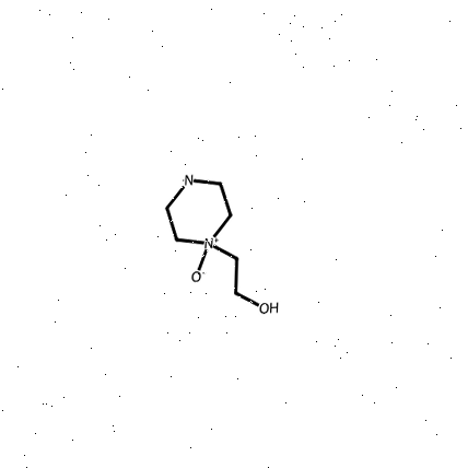 [O-][N+]1(CCO)CC[N]CC1